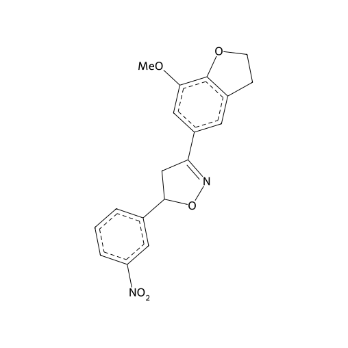 COc1cc(C2=NOC(c3cccc([N+](=O)[O-])c3)C2)cc2c1OCC2